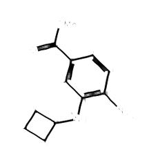 COC(=O)c1ccc([N+](=O)[O-])c(NC2CCC2)c1